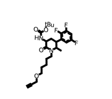 C#CCOCCCCCN1C(=O)C(NC(=O)OC(C)(C)C)CC(c2cc(F)cc(F)c2F)C1C